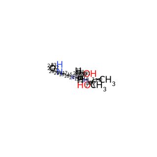 CC#CC[C@H](C)[C@H](O)/C=C/[C@@H]1[C@H]2C/C(=C/CCCCNCc3ccccc3)C[C@H]2C[C@H]1O